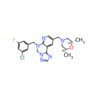 C[C@@H]1CN(Cc2cnc3c(c2)-c2ncnn2CN3Cc2cc(F)cc(Cl)c2)C[C@H](C)O1